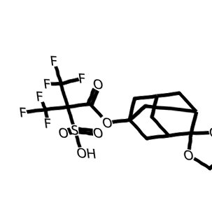 O=C(OC12CC3CC(C1)C1(OCCO1)C(C3)C2)C(C(F)(F)F)(C(F)(F)F)S(=O)(=O)O